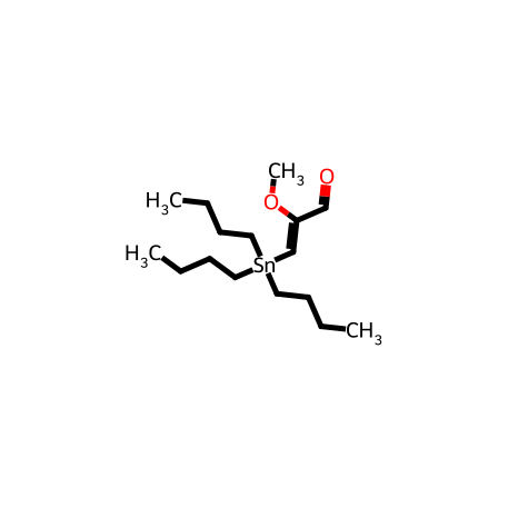 CCC[CH2][Sn]([CH]=C(C=O)OC)([CH2]CCC)[CH2]CCC